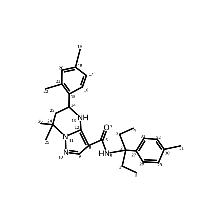 CCC(CC)(NC(=O)c1cnn2c1NC(c1ccc(C)cc1C)CC2(C)C)c1ccc(C)cc1